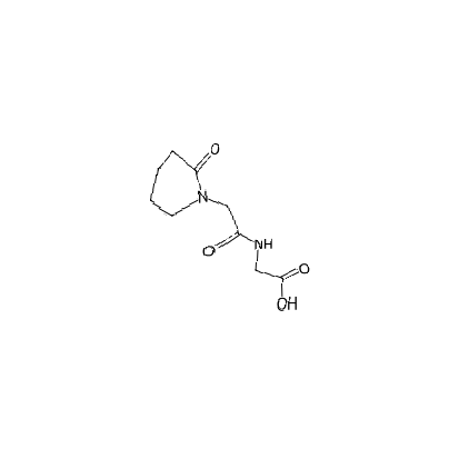 O=C(O)CNC(=O)CN1CCCCC1=O